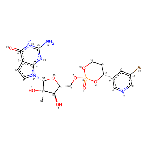 C[C@@]1(O)[C@H](O)[C@@H](COP2(=O)OCC[C@H](c3cncc(Br)c3)O2)O[C@H]1n1ccc2c(=O)[nH]c(N)nc21